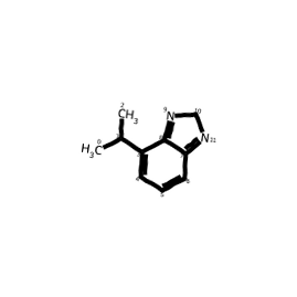 CC(C)c1cccc2c1=NCN=2